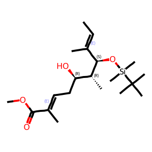 C/C=C(\C)[C@@H](O[Si](C)(C)C(C)(C)C)[C@H](C)[C@H](O)C/C=C(\C)C(=O)OC